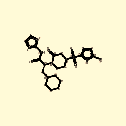 O=C(Nc1nccs1)[C@H](CC1CCCCC1)N1CCN(S(=O)(=O)c2ccc(Br)s2)CC1=O